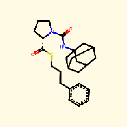 O=C(SCCCc1ccccc1)[C@@H]1CCCN1C(=O)NC12CC3CC(CC(C3)C1)C2